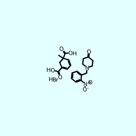 Br.CC1(C(=O)O)C=CC=C(C(=O)O)C1.O=C1CCN(Cc2ccccc2[N+](=O)[O-])CC1